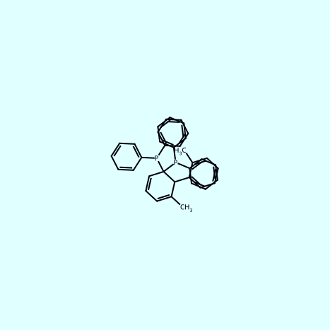 CC1=CC=CC(P(c2ccccc2)c2ccccc2)(P(c2ccccc2)c2ccccc2)C1c1ccccc1C